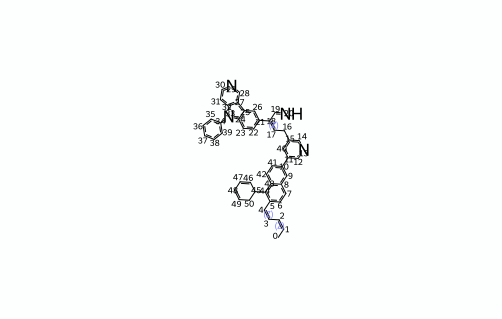 C/C=C\C=C/c1ccc2cc(-c3cncc(C/C=C(\C=N)c4ccc5c(c4)c4cnccc4n5-c4ccccc4)c3)ccc2c1C1C=CC=CC1